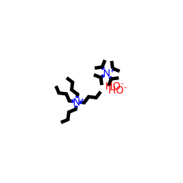 CC(C)[N+](C(C)C)(C(C)C)C(C)C.CCCC[N+](CCCC)(CCCC)CCCC.[OH-].[OH-]